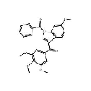 COc1ccc2c(C(=O)c3cc(OC)c(OC)c(OC)c3)cn(C(=O)c3cccnc3)c2c1